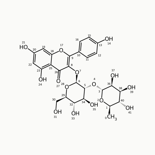 C[C@H]1O[C@H](O[C@H]2[C@H](Oc3c(-c4ccc(O)cc4)oc4cc(O)cc(O)c4c3=O)O[C@H](CO)[C@@H](O)[C@@H]2O)[C@@H](O)[C@@H](O)[C@@H]1O